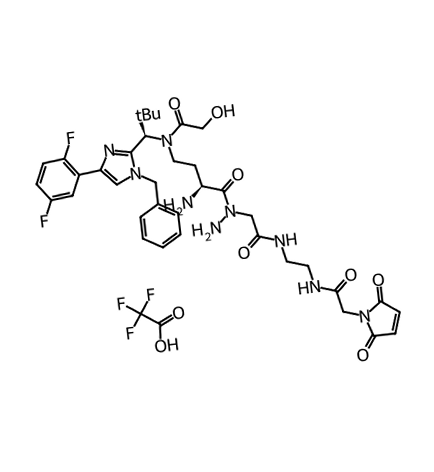 CC(C)(C)[C@H](c1nc(-c2cc(F)ccc2F)cn1Cc1ccccc1)N(CC[C@H](N)C(=O)N(N)CC(=O)NCCNC(=O)CN1C(=O)C=CC1=O)C(=O)CO.O=C(O)C(F)(F)F